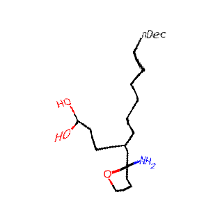 CCCCCCCCCCCCCCCCC(CCC(O)O)C1(N)CCO1